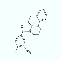 Cc1ccc(C(=O)N2CCCC3c4ccccc4CCC32)cc1N